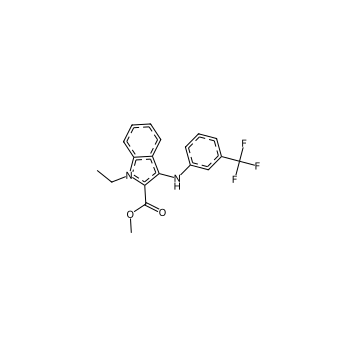 CCn1c(C(=O)OC)c(Nc2cccc(C(F)(F)F)c2)c2ccccc21